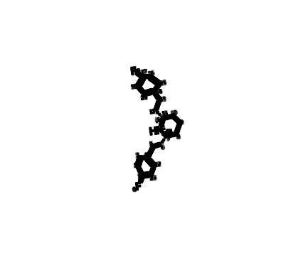 Fc1ccc(CC[C@H]2CCC[C@@H](CCc3ccc(F)cc3)N2)cc1